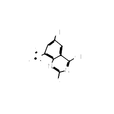 O=S(=O)(Cl)c1cc(Cl)cc2c(O)nc(O)nc12